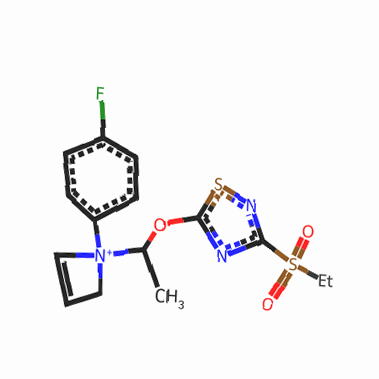 CCS(=O)(=O)c1nsc(OC(C)[N+]2(c3ccc(F)cc3)C=CC2)n1